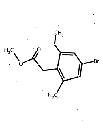 CCc1cc(Br)cc(C)c1CC(=O)OC